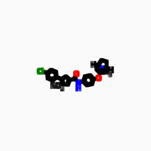 CN1[C@@H]2CC[C@H]1C[C@@H](Oc1ccc(NC(=O)C3=CC=C(c4ccc(Cl)cc4[N+](=O)[O-])C3)cc1)C2